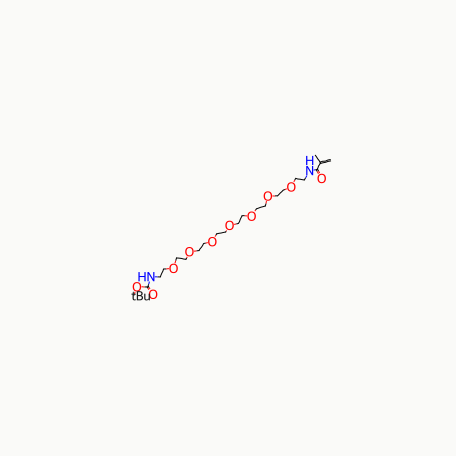 C=C(C)C(=O)NCCOCCOCCOCCOCCOCCOCCOCCNC(=O)OC(C)(C)C